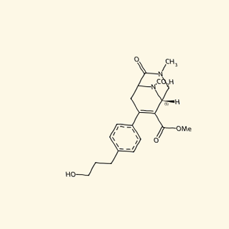 COC(=O)C1=C(c2ccc(CCCO)cc2)CC2C(=O)N(C)C[C@H]1N2C(=O)O